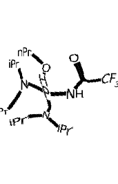 CCCO[PH](NC(=O)C(F)(F)F)(N(C(C)C)C(C)C)N(C(C)C)C(C)C